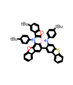 CC(C)(C)c1ccc(N2B3c4oc5ccc(C(C)(C)C)cc5c4N(c4ccc(C(C)(C)C)cc4)c4c3c(cc3c4oc4ccccc43)-c3cc4c(cc32)sc2ccccc24)cc1